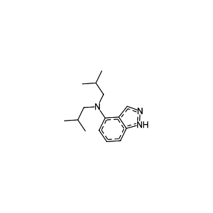 CC(C)CN(CC(C)C)c1cccc2[nH]ncc12